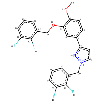 COc1ccc(-c2ccn(Cc3cccc(F)c3F)n2)cc1OCc1cccc(F)c1F